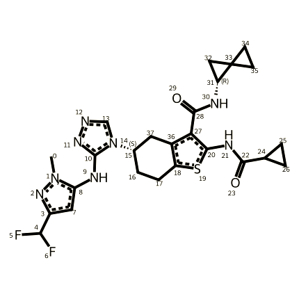 Cn1nc(C(F)F)cc1Nc1nncn1[C@H]1CCc2sc(NC(=O)C3CC3)c(C(=O)N[C@@H]3CC34CC4)c2C1